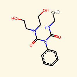 O=[C]CNC(=O)N(C(=O)N(CCO)CCO)c1ccccc1